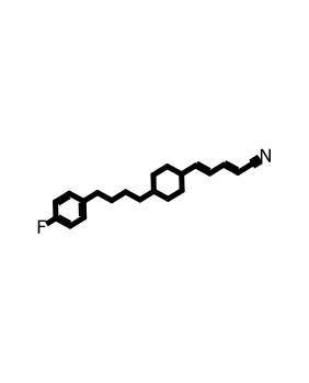 N#CC=CC=CC1CCC(CCCCc2ccc(F)cc2)CC1